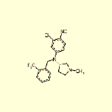 [C-]#[N+]c1ccc(N(Cc2ccccc2C(F)(F)F)[C@H]2CCN(C)C2)cc1Cl